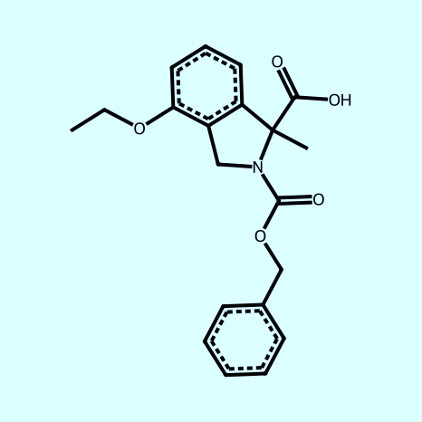 CCOc1cccc2c1CN(C(=O)OCc1ccccc1)C2(C)C(=O)O